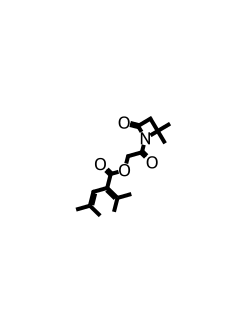 CC(C)=CC(C(=O)OCC(=O)N1C(=O)CC1(C)C)=C(C)C